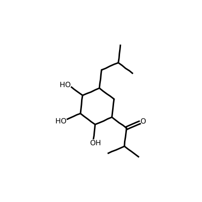 CC(C)CC1CC(C(=O)C(C)C)C(O)C(O)C1O